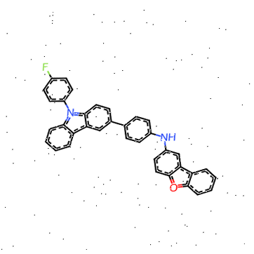 Fc1ccc(-n2c3ccccc3c3cc(-c4ccc(Nc5ccc6oc7ccccc7c6c5)cc4)ccc32)cc1